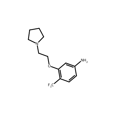 Nc1ccc(C(F)(F)F)c(OCCN2CCCC2)c1